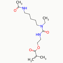 C=C(C)C(=O)OCCNC(=O)N(CC)CCCCCNC(C)=O